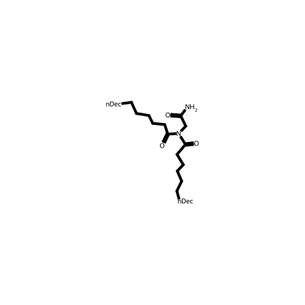 CCCCCCCCCCCCCCCC(=O)N(CC(N)=O)C(=O)CCCCCCCCCCCCCCC